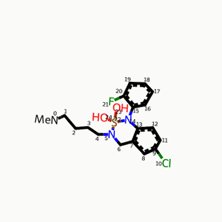 CNCCCCN1Cc2cc(Cl)ccc2N(c2ccccc2F)S1(O)O